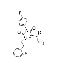 NC(=O)c1cn(CCc2ccccc2F)c(=O)n(-c2ccc(F)cc2)c1=O